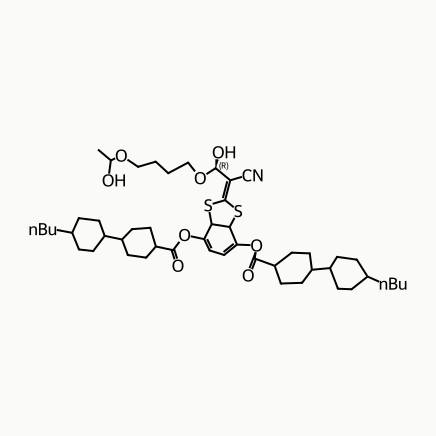 CCCCC1CCC(C2CCC(C(=O)OC3=CC=C(OC(=O)C4CCC(C5CCC(CCCC)CC5)CC4)C4SC(=C(C#N)[C@H](O)OCCCCOC(C)O)SC34)CC2)CC1